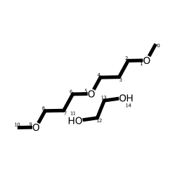 COCCCOCCCOC.OCCO